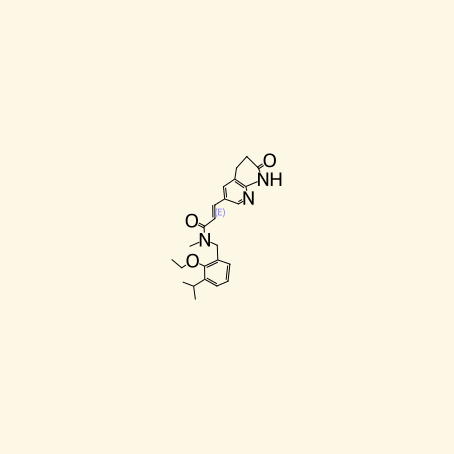 CCOc1c(CN(C)C(=O)/C=C/c2cnc3c(c2)CCC(=O)N3)cccc1C(C)C